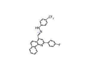 Fc1ccc(-c2cc(/C=N/Nc3ccc(C(F)(F)F)cc3)c3ccc4ccccc4c3n2)cc1